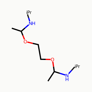 CC(C)NC(C)OCCOC(C)NC(C)C